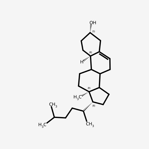 CC(C)CCC(C)[C@H]1CCC2C3CC=C4C[C@@H](O)CC[C@@H]4C3CC[C@@]21C